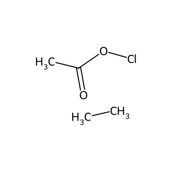 CC.CC(=O)OCl